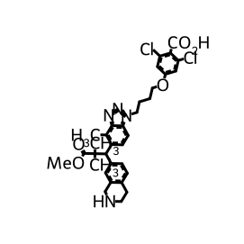 COC(=O)C(C)(C)C(c1ccc2c(c1)CNCC2)c1ccc2c(nnn2CCCCOc2cc(Cl)c(C(=O)O)c(Cl)c2)c1C